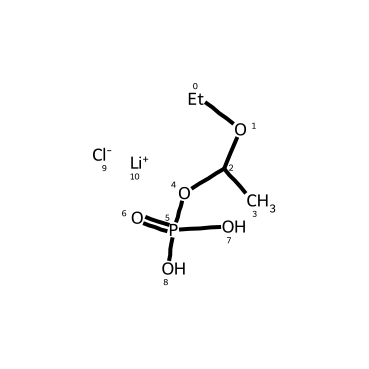 CCOC(C)OP(=O)(O)O.[Cl-].[Li+]